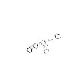 c1cncc(OCCOc2nc(Nc3ccc4c(c3)oc3ccccc34)nc(N3CCOCC3)n2)c1